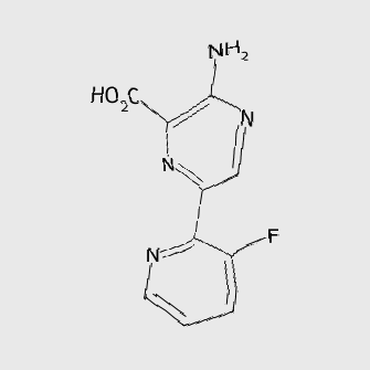 Nc1ncc(-c2ncccc2F)nc1C(=O)O